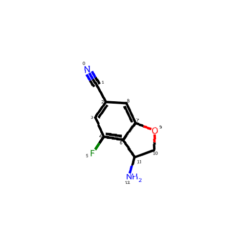 N#Cc1cc(F)c2c(c1)OCC2N